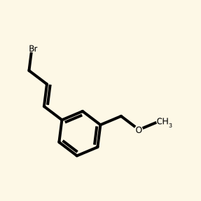 COCc1cccc(/C=C/CBr)c1